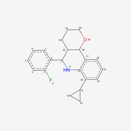 Fc1ccccc1C1Nc2c(C3CC3)cccc2C2OCCCC12